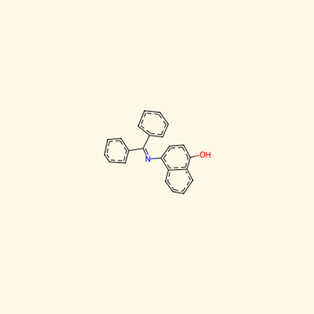 Oc1ccc(N=C(c2ccccc2)c2ccccc2)c2ccccc12